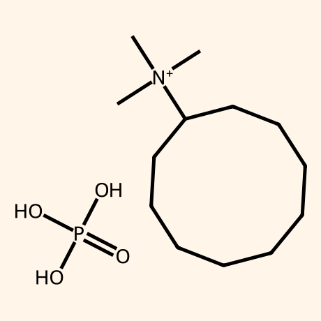 C[N+](C)(C)C1CCCCCCCCC1.O=P(O)(O)O